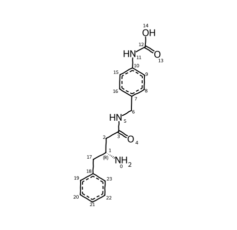 N[C@@H](CC(=O)NCc1ccc(NC(=O)O)cc1)Cc1ccccc1